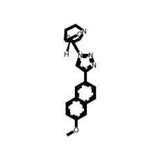 COc1ccc2cc(-c3cn([C@H]4CN5CCC4CC5)nn3)ccc2c1